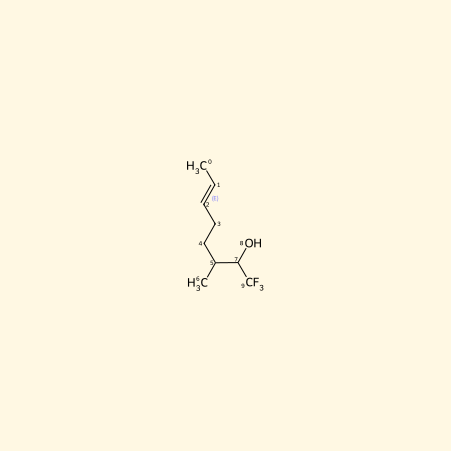 C/C=C/CCC(C)C(O)C(F)(F)F